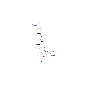 CC(C)OC(=O)N[C@H](C(=S)N1CCC[C@H]1C(=O)NCC1CCC(C(=N)N)CC1)C(C)(C)C1CCCC1